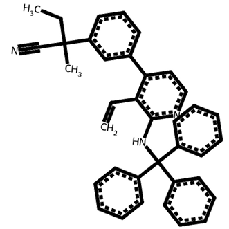 C=Cc1c(-c2cccc(C(C)(C#N)CC)c2)ccnc1NC(c1ccccc1)(c1ccccc1)c1ccccc1